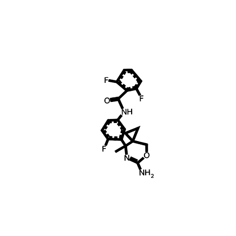 CC1(c2cc(NC(=O)c3c(F)cccc3F)ccc2F)N=C(N)OCC12CC2